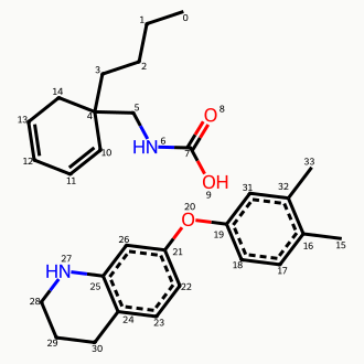 CCCCC1(CNC(=O)O)C=CC=CC1.Cc1ccc(Oc2ccc3c(c2)NCCC3)cc1C